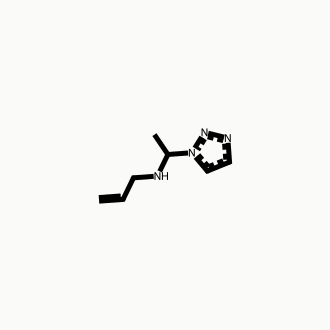 C=CCNC(C)n1ccnn1